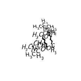 CCCCCC(=O)O.CCCCCCC(=O)O.CCN(C(C)C)C(C)C.CCN(C(C)C)C(C)C